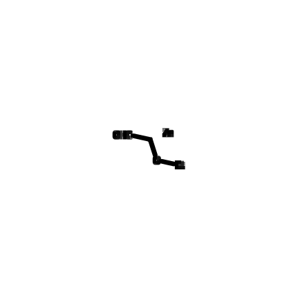 CCOCC=O.[Zn]